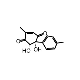 CC1=CC(=O)[C@@](O)(c2ccc(C)cc2)[C@H](O)C1=O